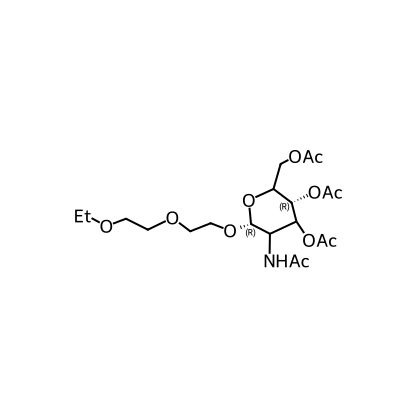 CCOCCOCCO[C@@H]1OC(COC(C)=O)[C@H](OC(C)=O)C(OC(C)=O)C1NC(C)=O